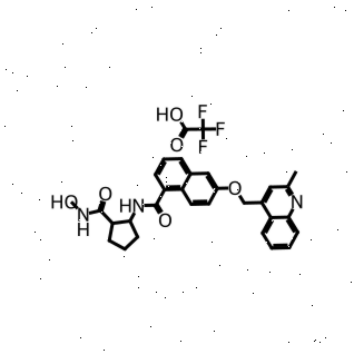 Cc1cc(COc2ccc3c(C(=O)NC4CCCC4C(=O)NO)cccc3c2)c2ccccc2n1.O=C(O)C(F)(F)F